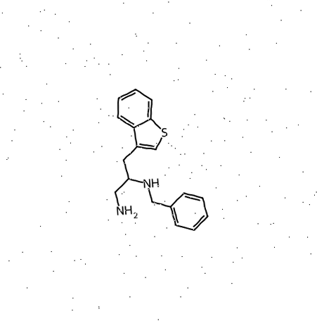 NCC(Cc1csc2ccccc12)NCc1ccccc1